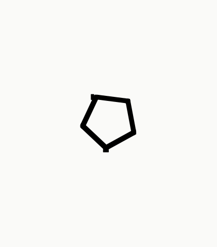 [C]1C[C]CC1